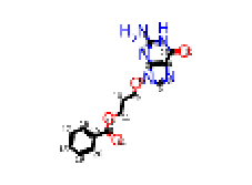 Nc1nc2c(ncn2OCCCOC(=O)c2ccccc2)c(=O)[nH]1